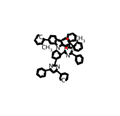 Cc1ccccc1-c1ccc2c3ccc(-c4ccccc4C)cc3n(-c3ccc(-c4nc(-c5ccccc5)cc(-c5ccccc5)n4)cc3-c3nc(-c4ccccc4)nc(-c4ccccc4)n3)c2c1